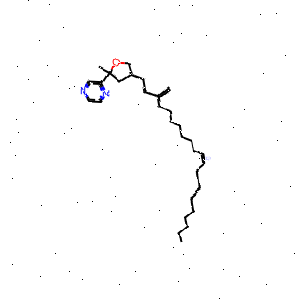 C=C(CCCCCCC/C=C\CCCCCCCC)CCC1COC(C)(c2cnccn2)C1